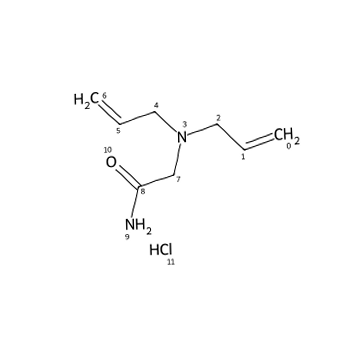 C=CCN(CC=C)CC(N)=O.Cl